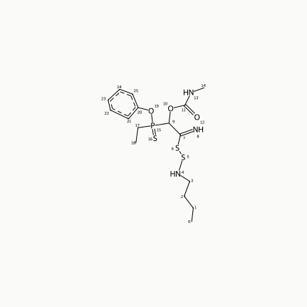 CCCCNSSC(=N)C(OC(=O)NC)P(=S)(CC)Oc1ccccc1